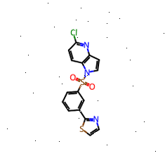 O=S(=O)(c1cccc(-c2nccs2)c1)n1ccc2nc(Cl)ccc21